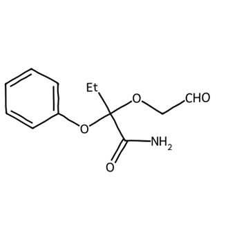 CCC(OCC=O)(Oc1ccccc1)C(N)=O